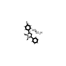 CN1C(c2ccccc2)CC(c2ccc(F)cc2)N1C.O=S(=O)(O)O